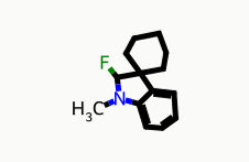 CN1c2ccccc2C2(CCCCC2)C1F